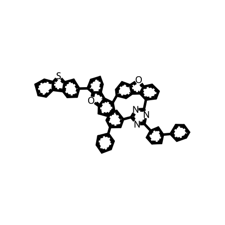 c1ccc(-c2cccc(-c3nc(-c4cccc(-c5ccccc5)c4)nc(-c4cccc5oc6ccc(-c7cccc8oc9c(-c%10ccc%11c(c%10)sc%10ccccc%10%11)cccc9c78)cc6c45)n3)c2)cc1